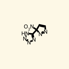 O=[N+]([O-])C1(c2nnn[nH]2)C=CN=N1